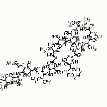 CC[C@H](C)[C@H](NC(=O)CNC(=O)[C@H](C)NC(=O)[C@@H](NC(=O)[C@@H]1CCCN1C(=O)[C@H](CO)NC(=O)[C@H](C)NC(=O)[C@H](CO)NC(=O)[C@H](C)NC(=O)[C@@H]1CCCN1C(=O)[C@H](CO)NC(=O)[C@@H](N)CC(=O)O)C(C)C)C(=O)N[C@H](C(=O)NCC(=O)N[C@@H](CCSC)C(=O)N[C@@H](CS)C(=O)N[C@H](C(=O)O)[C@@H](C)O)[C@@H](C)O